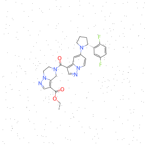 CCOC(=O)c1cnn2c1CN(C(=O)c1cnn3ccc(N4CCC[C@@H]4c4cc(F)ccc4F)cc13)CC2